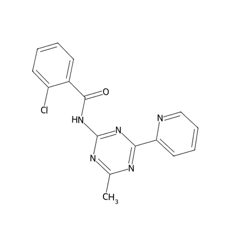 Cc1nc(NC(=O)c2ccccc2Cl)nc(-c2ccccn2)n1